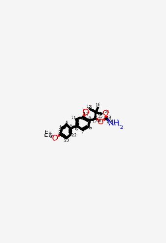 CCOc1ccc(-c2ccc3c(c2)OCC(C)(C)C3OC(N)=O)cc1